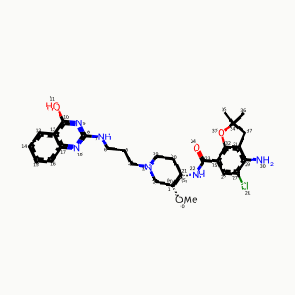 CO[C@@H]1CN(CCCNc2nc(O)c3ccccc3n2)CC[C@@H]1NC(=O)c1cc(Cl)c(N)c2c1OC(C)(C)C2